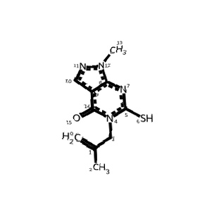 C=C(C)Cn1c(S)nc2c(cnn2C)c1=O